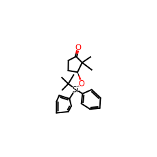 CC1(C)C(=O)CC[C@@H]1O[Si](c1ccccc1)(c1ccccc1)C(C)(C)C